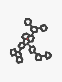 c1ccc(-c2cccc(-c3ccc(N(c4ccc(-c5cc(-c6ccccc6)cc(-c6ccccc6)c5)cc4)c4cc(-c5cc6ccccc6c6ccccc56)ccc4-c4ccccc4)cc3)c2)cc1